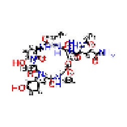 CC[C@H](C)[C@@H]1NC(=O)C(Cc2ccc(O)cc2)N(C)C(=O)[C@H]([C@@H](C)CC)N2C(=O)[C@H](CC[C@H]2O)NC(=O)[C@H](CC(C)C)NC(=O)[C@@H](NC(=O)[C@H](CCC(N)=O)NC(=O)C(C)C)[C@@H](C)OC1=O